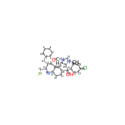 COc1c(Cc2ccccc2)c(CF)nc2ccc(C(O)(c3ccc(Cl)cc3)c3cncn3C)cc12